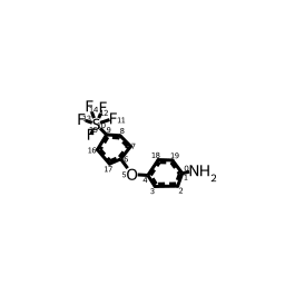 Nc1ccc(Oc2ccc(S(F)(F)(F)(F)F)cc2)cc1